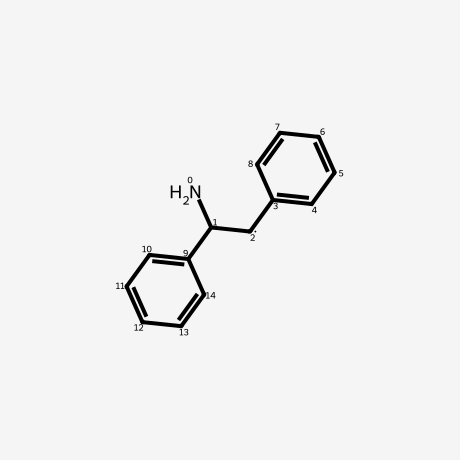 NC([CH]c1ccccc1)c1ccccc1